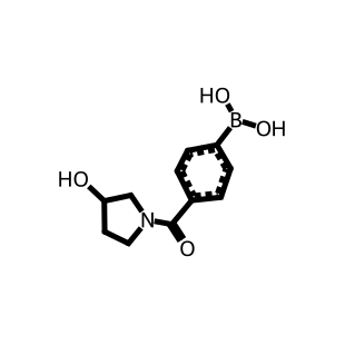 O=C(c1ccc(B(O)O)cc1)N1CCC(O)C1